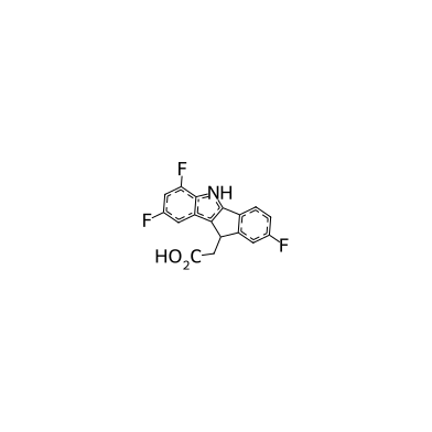 O=C(O)CC1c2cc(F)ccc2-c2[nH]c3c(F)cc(F)cc3c21